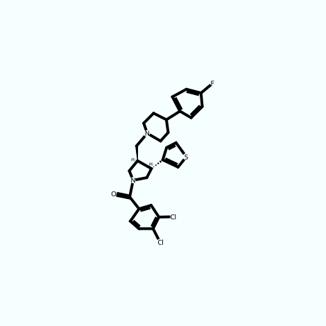 O=C(c1ccc(Cl)c(Cl)c1)N1C[C@@H](CN2CCC(c3ccc(F)cc3)CC2)[C@H](c2ccsc2)C1